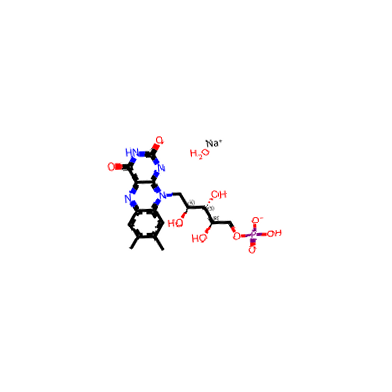 Cc1cc2nc3c(=O)[nH]c(=O)nc-3n(C[C@H](O)[C@H](O)[C@H](O)COP(=O)([O-])O)c2cc1C.O.[Na+]